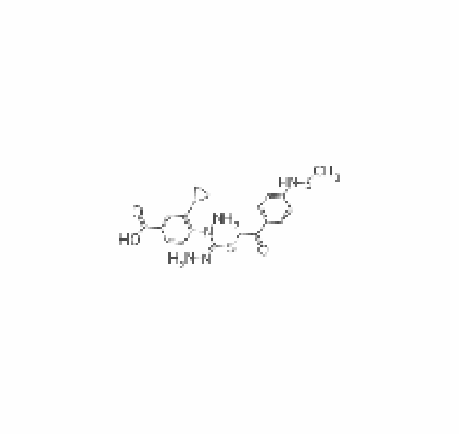 CSNc1ccc(C(=O)CS/C(=N/N)N(N)c2ccc(C(=O)O)cc2C2CC2)cc1